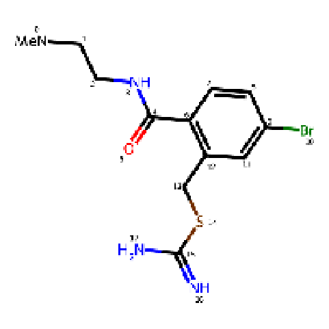 CNCCNC(=O)c1ccc(Br)cc1CSC(=N)N